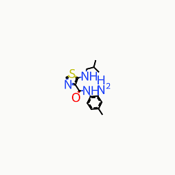 Cc1ccc(NC(=O)c2ncsc2NCC(C)C)c(N)c1